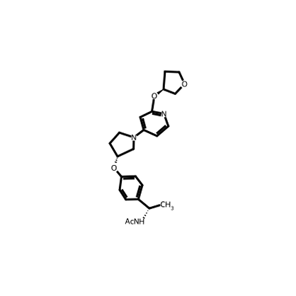 CC(=O)N[C@@H](C)c1ccc(O[C@@H]2CCN(c3ccnc(O[C@H]4CCOC4)c3)C2)cc1